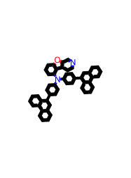 c1ccc2c(c1)cc(-c1ccc(N(c3ccc(-c4cc5ccccc5c5ccccc45)cc3)c3cccc4oc5cnccc5c34)cc1)c1ccccc12